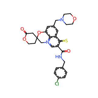 O=C1CC2(CCO1)Cn1cc(C(=O)NCc3ccc(Cl)cc3)c(=S)c3cc(CN4CCOCC4)cc(c31)O2